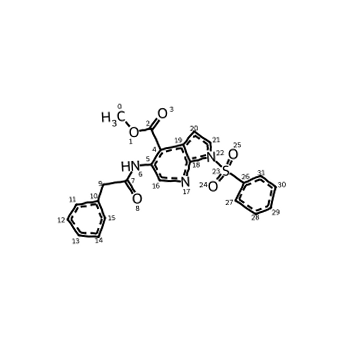 COC(=O)c1c(NC(=O)Cc2ccccc2)cnc2c1ccn2S(=O)(=O)c1ccccc1